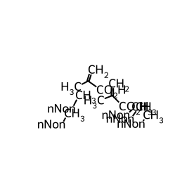 C=C(C)C(=O)O.C=C(C)C(=O)O.CCCCCCCCCC.CCCCCCCCCC.CCCCCCCCCC.CCCCCCCCCC.CCCCCCCCCC